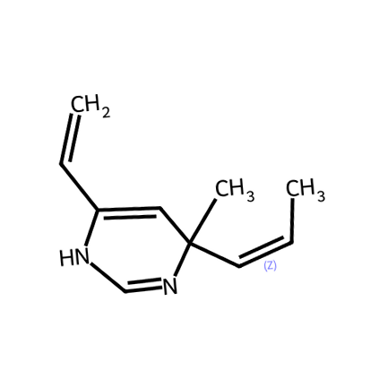 C=CC1=CC(C)(/C=C\C)N=CN1